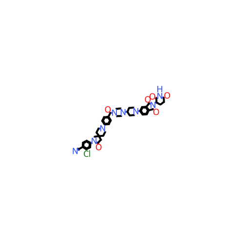 N#Cc1ccc(N2CC3(CCN(c4ccc(C(=O)N5CCN(C6CCN(c7ccc8c(c7)C(=O)N(C7CCC(=O)NC7=O)C8=O)CC6)CC5)cc4)CC3)CC2=O)cc1Cl